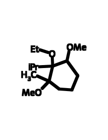 CCOC1(C(C)C)C(OC)CCCC1(C)OC